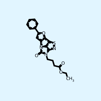 CCOC(=O)CCCn1c(=O)n2c3cc(-c4ccccc4)oc3c3snc1c32